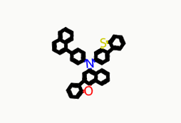 c1ccc2c(-c3ccc(N(c4ccc5c(c4)sc4ccccc45)c4cc5c6ccccc6oc5c5ccccc45)cc3)cccc2c1